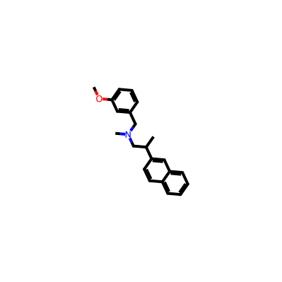 COc1cccc(CN(C)CC(C)c2ccc3ccccc3c2)c1